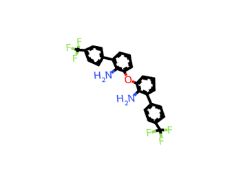 Nc1c(Oc2cccc(-c3ccc(C(F)(F)F)cc3)c2N)cccc1-c1ccc(C(F)(F)F)cc1